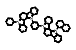 c1ccc(-n2c3ccccc3c3c2ccc2c4ccccc4n(-c4cccc(-n5c6ccccc6c6c5ccc5c7ccccc7n(-c7cccc8ccccc78)c56)c4)c23)cc1